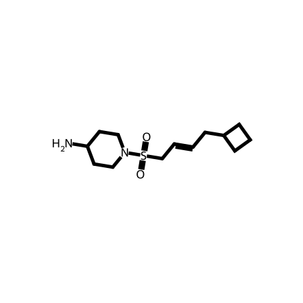 NC1CCN(S(=O)(=O)CC=CCC2CCC2)CC1